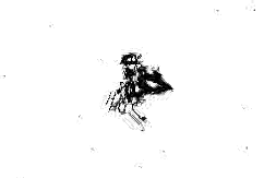 CPc1ccc([C@H](CC(=O)O)c2ccc(C)c(CN3Cc4ncccc4OC(C)(C)C3)c2)c(C)c1N